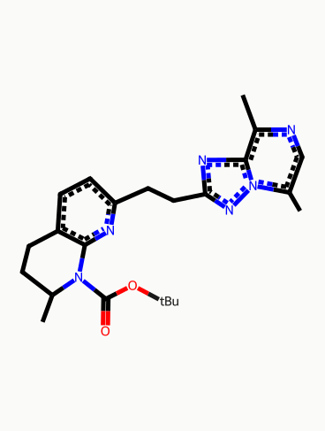 Cc1ncc(C)n2nc(CCc3ccc4c(n3)N(C(=O)OC(C)(C)C)C(C)CC4)nc12